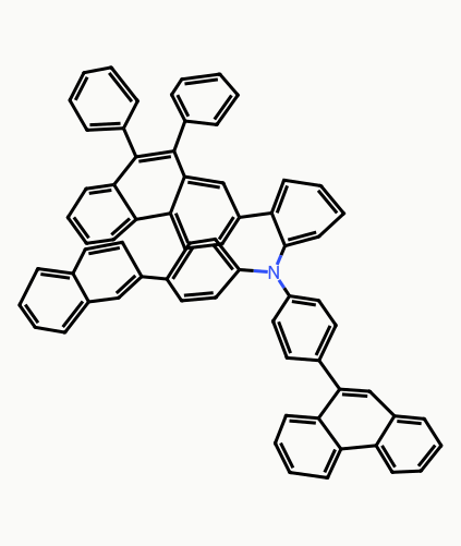 c1ccc(-c2c(-c3ccccc3)c3cc(-c4ccccc4N(c4ccc(-c5ccc6ccccc6c5)cc4)c4ccc(-c5cc6ccccc6c6ccccc56)cc4)ccc3c3ccccc23)cc1